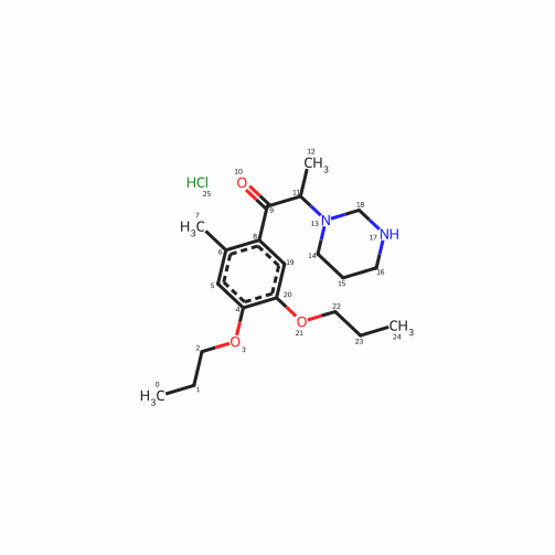 CCCOc1cc(C)c(C(=O)C(C)N2CCCNC2)cc1OCCC.Cl